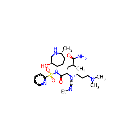 CCN=C=[N+](CCCN(C)C)[C@@H](CC(C)C(N)=O)C(=O)N([C@H]1CC[C@@H](C)NC[C@@H]1O)S(=O)(=O)c1ccccn1